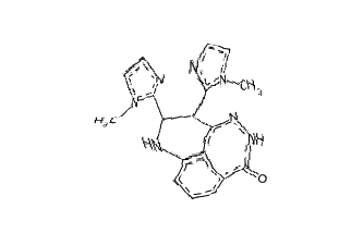 Cn1ccnc1C1Nc2cccc3c(=O)[nH]nc(c23)C1c1nccn1C